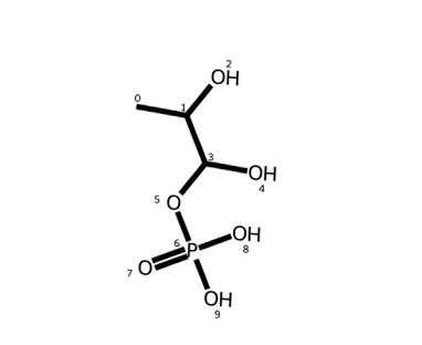 CC(O)C(O)OP(=O)(O)O